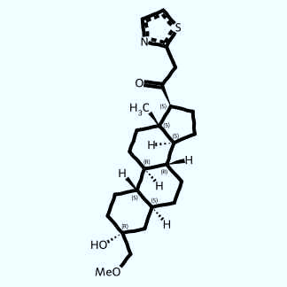 COC[C@@]1(O)CC[C@H]2[C@@H](CC[C@@H]3[C@@H]2CC[C@]2(C)[C@@H](C(=O)Cc4nccs4)CC[C@@H]32)C1